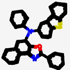 c1ccc(-c2nc3c(o2)c(N(c2ccccc2)c2ccc4sc5ccccc5c4c2)cc2ccccc23)cc1